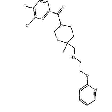 O=C(c1ccc(F)c(Cl)c1)N1CCC(F)(CNCCOc2ccccn2)CC1